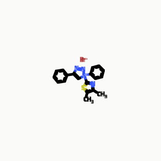 Cc1nc([N+]2(c3ccccc3)C=C(c3ccccc3)N=N2)sc1C.[Br-]